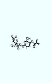 C=C(C)C(=O)OC1CCC(COC(=O)C(C)(C=C(C)C)C(C)(C)C)CC1O